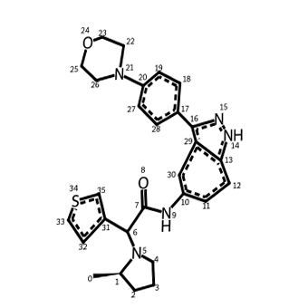 C[C@@H]1CCCN1C(C(=O)Nc1ccc2[nH]nc(-c3ccc(N4CCOCC4)cc3)c2c1)c1ccsc1